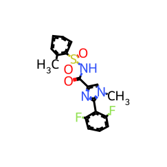 Cc1ccccc1S(=O)(=O)NC(=O)c1cn(C)c(-c2c(F)cccc2F)n1